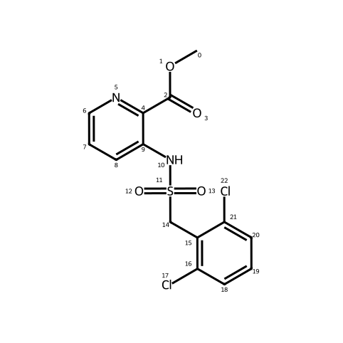 COC(=O)c1ncccc1NS(=O)(=O)Cc1c(Cl)cccc1Cl